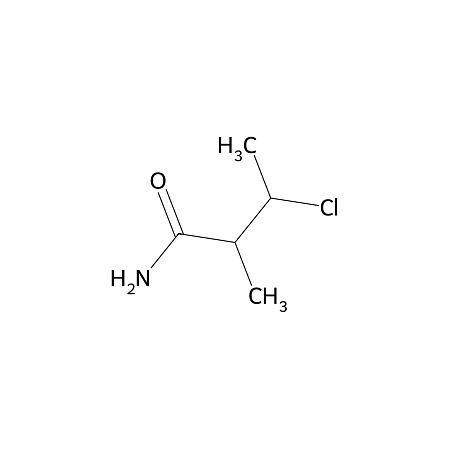 CC(Cl)C(C)C(N)=O